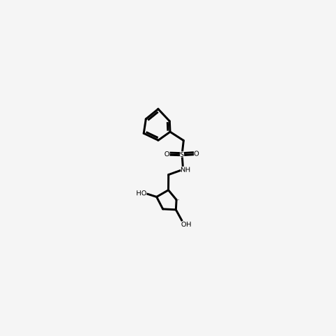 O=S(=O)(Cc1ccccc1)NCC1[CH]C(O)CC1O